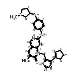 CN1CCC(Nc2ccc(Nc3ncc4cc(C#N)c(=O)n(Cc5ncsc5C5=CCCC5)c4n3)cc2)C1